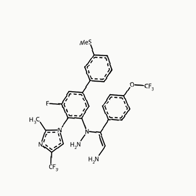 CSc1cccc(-c2cc(F)c(-n3cc(C(F)(F)F)nc3C)c(N(N)/C(=C\N)c3ccc(OC(F)(F)F)cc3)c2)c1